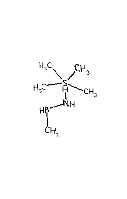 CBN[SH](C)(C)(C)C